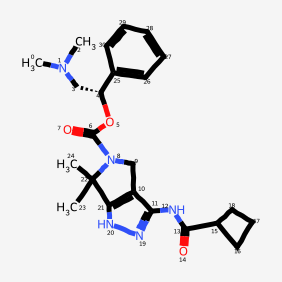 CN(C)C[C@@H](OC(=O)N1Cc2c(NC(=O)C3CCC3)n[nH]c2C1(C)C)c1ccccc1